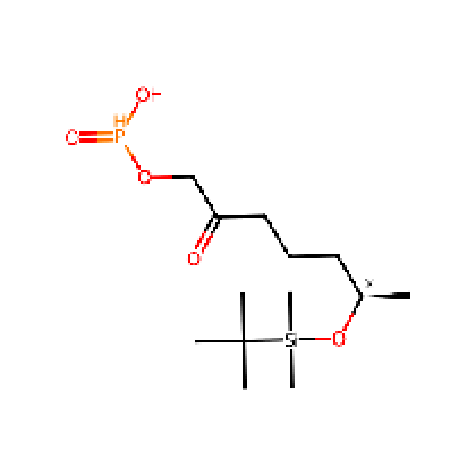 C[C@H](CCCC(=O)CO[PH](=O)O)O[Si](C)(C)C(C)(C)C